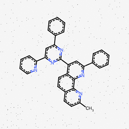 Cc1ccc2ccc3c(-c4nc(-c5ccccc5)cc(-c5ccccn5)n4)cc(-c4ccccc4)nc3c2n1